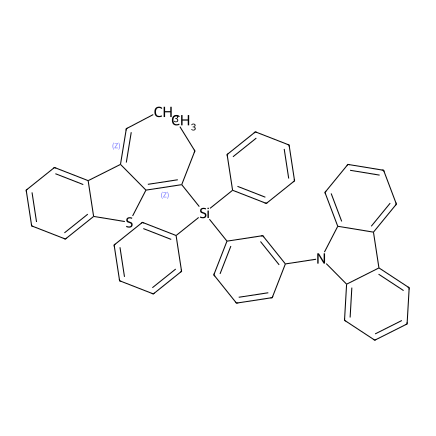 C/C=c1\c(=C(/CC)[Si](c2ccccc2)(c2ccccc2)c2cccc(-n3c4ccccc4c4ccccc43)c2)sc2ccccc12